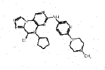 CCC1c2nncn2-c2cnc(Nc3ccc(N4CCN(C)CC4)nc3)nc2N1C1CCCC1